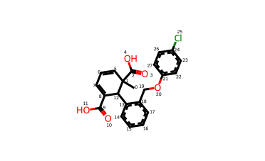 CC1(C(=O)O)C=CC=C(C(=O)O)C1c1ccccc1COc1ccc(Cl)cc1